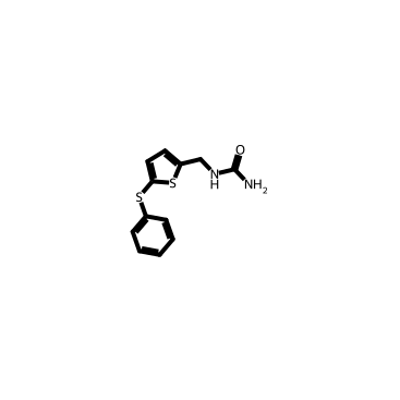 NC(=O)NCc1ccc(Sc2ccccc2)s1